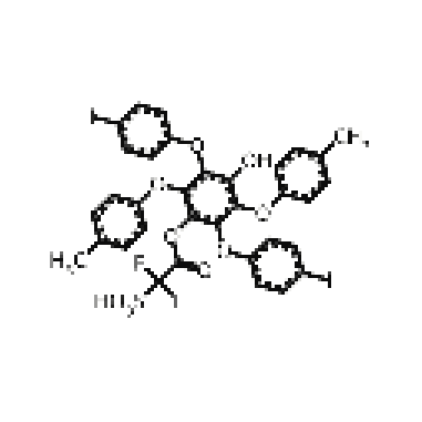 Cc1ccc(Oc2c(O)c(Oc3ccc(I)cc3)c(Oc3ccc(C)cc3)c(OC(=O)C(F)(F)S(=O)(=O)O)c2Oc2ccc(I)cc2)cc1